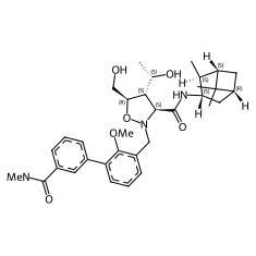 CNC(=O)c1cccc(-c2cccc(CN3O[C@@H](CO)[C@H]([C@H](C)O)[C@H]3C(=O)N[C@H]3C[C@H]4C[C@@H]([C@@H]3C)C4(C)C)c2OC)c1